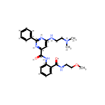 COCCNC(=O)c1ccccc1NC(=O)c1cc(NCCN(C)C)nc(-c2ccccc2)n1